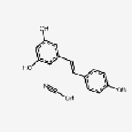 N#CO.Oc1ccc(C=Cc2cc(O)cc(O)c2)cc1